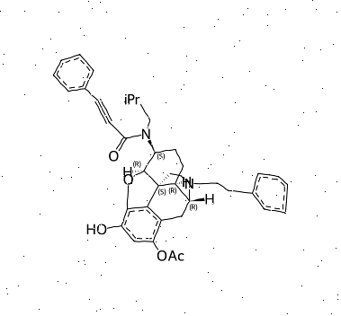 CC(=O)Oc1cc(O)c2c3c1C[C@@H]1[C@@H]4CC[C@H](N(CC(C)C)C(=O)C#Cc5ccccc5)[C@H](O2)[C@]34CCN1CCc1ccccc1